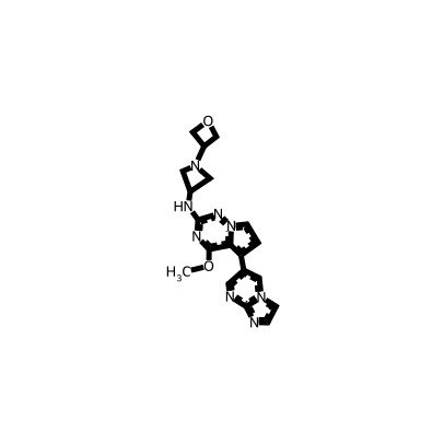 COc1nc(NC2CN(C3COC3)C2)nn2ccc(-c3cnc4nccn4c3)c12